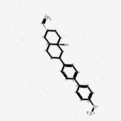 C=C[C@@H]1CC[C@@H]2CC(c3ccc(-c4ccc(OC(F)(F)F)cc4)cc3)CCC2C1